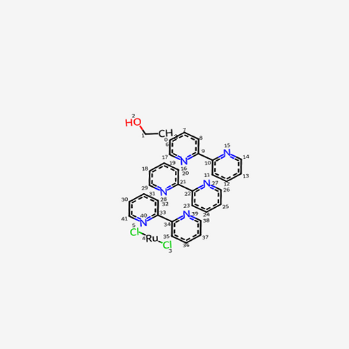 CCO.[Cl][Ru][Cl].c1ccc(-c2ccccn2)nc1.c1ccc(-c2ccccn2)nc1.c1ccc(-c2ccccn2)nc1